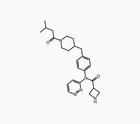 CC(C)CC(=O)N1CCC(Cc2ccc(N(C(=O)C3CNC3)c3cccnn3)cc2)CC1